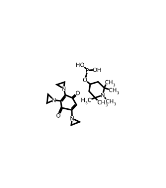 CN1C(C)(C)CC(OP(O)O)CC1(C)C.O=C1C=C(N2CC2)C(=O)C(N2CC2)=C1N1CC1